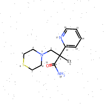 CCC(CN1CCSCC1)(C(N)=O)c1ccccn1